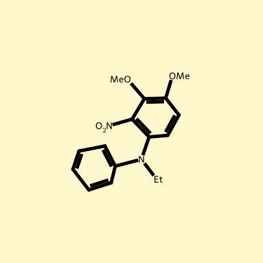 CCN(c1ccccc1)c1ccc(OC)c(OC)c1[N+](=O)[O-]